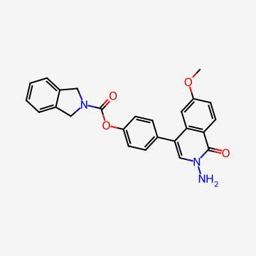 COc1ccc2c(=O)n(N)cc(-c3ccc(OC(=O)N4Cc5ccccc5C4)cc3)c2c1